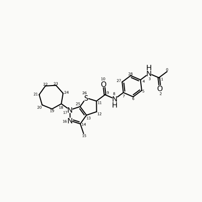 CC(=O)Nc1ccc(NC(=O)C2Cc3c(C)nn(C4CCCCCC4)c3S2)cc1